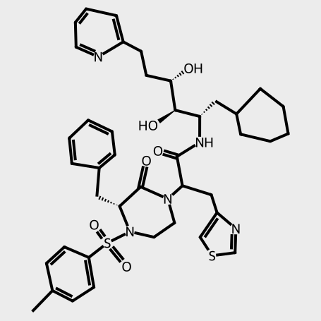 Cc1ccc(S(=O)(=O)N2CCN(C(Cc3cscn3)C(=O)N[C@@H](CC3CCCCC3)[C@@H](O)[C@@H](O)CCc3ccccn3)C(=O)[C@H]2Cc2ccccc2)cc1